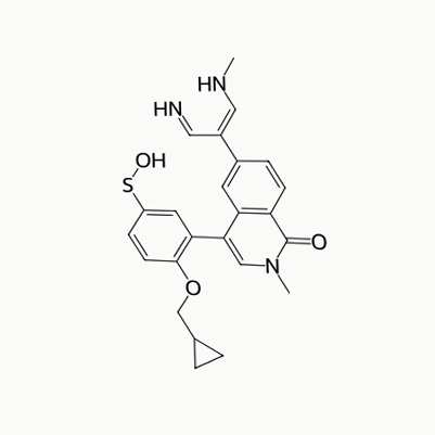 CN/C=C(\C=N)c1ccc2c(=O)n(C)cc(-c3cc(SO)ccc3OCC3CC3)c2c1